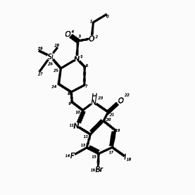 CCOC(=O)N1CCC(Cc2nc3c(F)c(Br)c(I)cc3c(=O)[nH]2)CC1[Si](C)(C)C